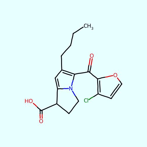 CCCCc1cc2n(c1C(=O)c1occc1Cl)CCC2C(=O)O